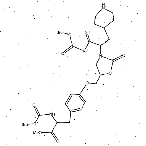 COC(=O)C(Cc1ccc(OCC2CN(C(CC3CCNCC3)C(=N)NC(=O)OC(C)(C)C)C(=O)O2)cc1)NC(=O)OC(C)(C)C